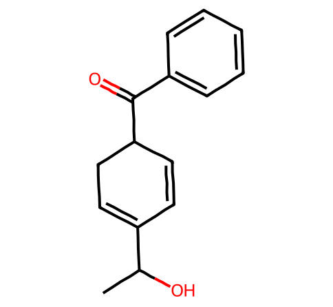 CC(O)C1=CCC(C(=O)c2ccccc2)C=C1